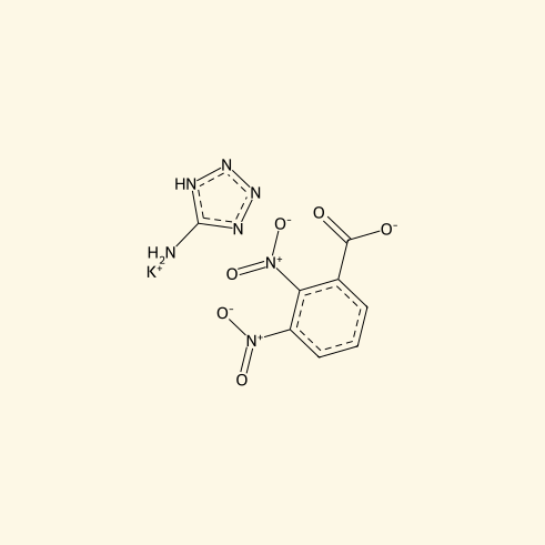 Nc1nnn[nH]1.O=C([O-])c1cccc([N+](=O)[O-])c1[N+](=O)[O-].[K+]